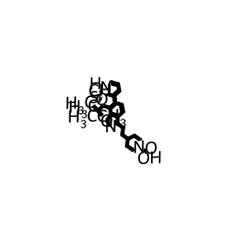 C[SiH](C)OC(c1c(-c2cccnc2)ccc2c(CCC3CCN(C(=O)O)CC3)noc12)C(C)(C)C